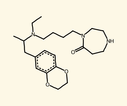 CCN(CCCCN1CCNCCC1=O)C(C)Cc1ccc2c(c1)OCCO2